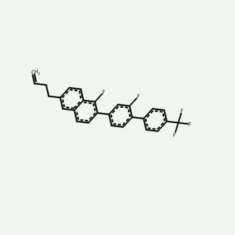 C=CCCc1ccc2c(F)c(-c3ccc(-c4ccc(C(F)(F)F)cc4)c(F)c3)ccc2c1